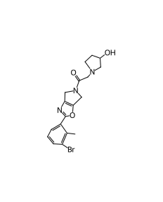 Cc1c(Br)cccc1-c1nc2c(o1)CN(C(=O)CN1CCC(O)C1)C2